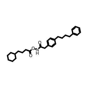 O=C(Cc1ccc(CCCCc2ccccc2)cc1)NOC(=O)CCCC1CCCCC1